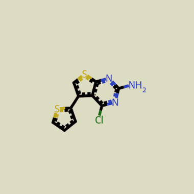 Nc1nc(Cl)c2c(-c3cccs3)csc2n1